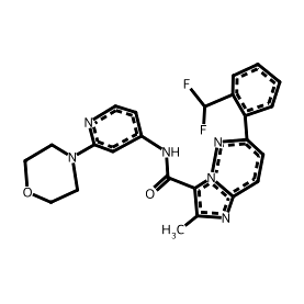 Cc1nc2ccc(-c3ccccc3C(F)F)nn2c1C(=O)Nc1ccnc(N2CCOCC2)c1